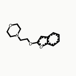 c1ccc2oc(OCCN3CCOCC3)cc2c1